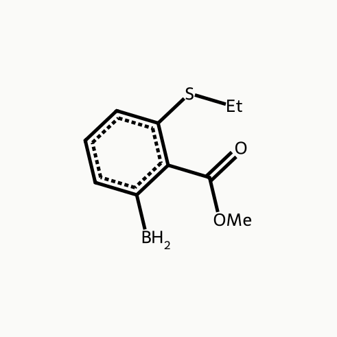 Bc1cccc(SCC)c1C(=O)OC